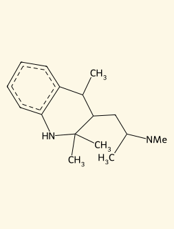 CNC(C)CC1C(C)c2ccccc2NC1(C)C